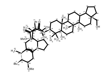 CC[C@H](C)[C@@H]([C@@H](CC(=O)N1CCCC1[C@H](OC)[C@@H](C)C(=O)N[C@H]1CC[C@]2(C)C3CCC4C5CCC[C@]5(CO)CC[C@@]4(C)[C@]3(C)CC[C@@]2(C)C1(C)C)OC)N(C)C(=O)CNC(=O)C(C(C)C)N(C)C